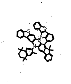 Cc1cc2c(cc1N1c3cc4c(cc3B3c5c1cc1c(c5-c5cccc6c7sc8ccccc8c7n3c56)C(C)(C)c3ccccc3-1)sc1ccccc14)C(C)(C)CCC2(C)C